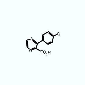 O=C(O)c1nccnc1-c1ccc(Cl)cc1